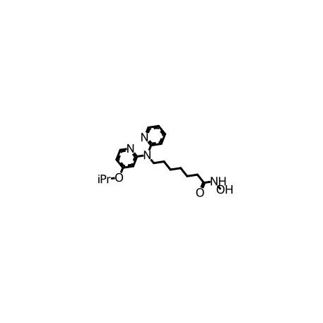 CC(C)Oc1ccnc(N(CCCCCCC(=O)NO)c2ccccn2)c1